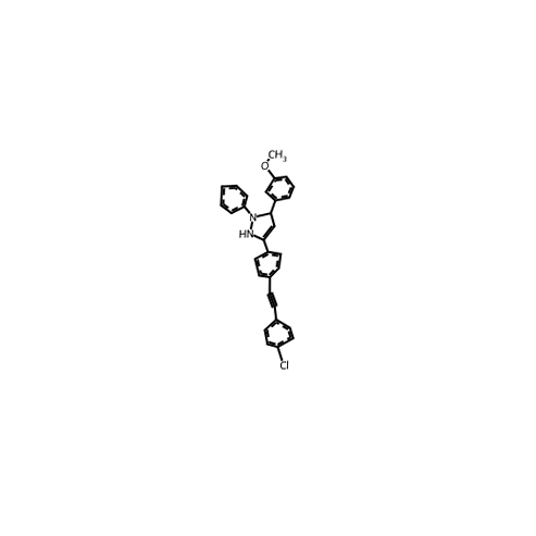 COc1cccc(C2C=C(c3ccc(C#Cc4ccc(Cl)cc4)cc3)NN2c2ccccc2)c1